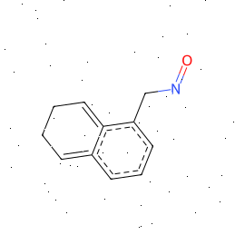 O=NCc1cccc2c1=CCCC=2